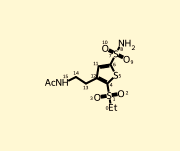 CCS(=O)(=O)c1sc(S(N)(=O)=O)cc1CCNC(C)=O